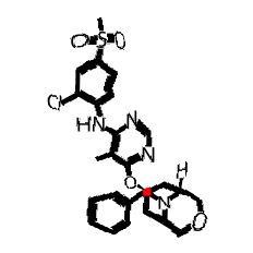 Cc1c(Nc2ccc(S(C)(=O)=O)cc2Cl)ncnc1O[C@@H]1CC2COC[C@@H](C1)N2Cc1ccccc1